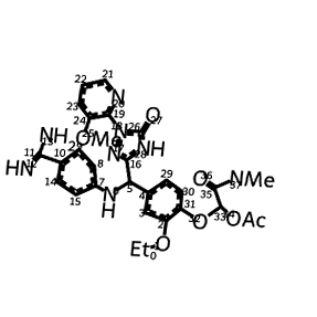 CCOc1cc(C(Nc2ccc(C(=N)N)cc2)c2nn(-c3ncccc3OC)c(=O)[nH]2)ccc1OC(OC(C)=O)C(=O)NC